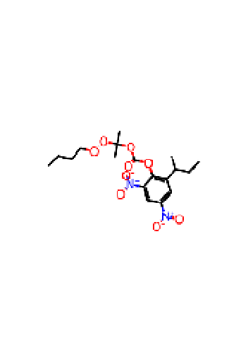 CCCCOOC(C)(C)OC(=O)Oc1c(C(C)CC)cc([N+](=O)[O-])cc1[N+](=O)[O-]